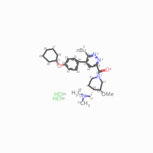 CCCCc1nnc(C(=O)N2CC[C@@H](CN(C)C)[C@@H](OC)C2)cc1-c1ccc(OC2CCCCC2)cc1.Cl.Cl